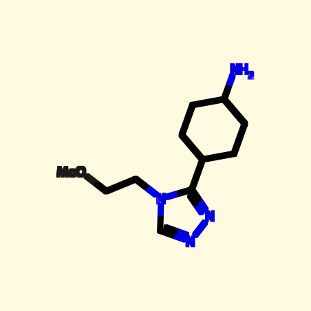 COCCn1cnnc1C1CCC(N)CC1